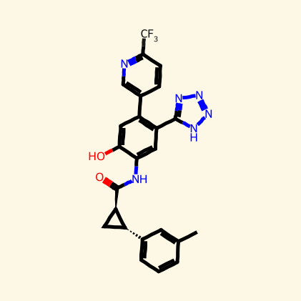 Cc1cccc([C@@H]2C[C@H]2C(=O)Nc2cc(-c3nnn[nH]3)c(-c3ccc(C(F)(F)F)nc3)cc2O)c1